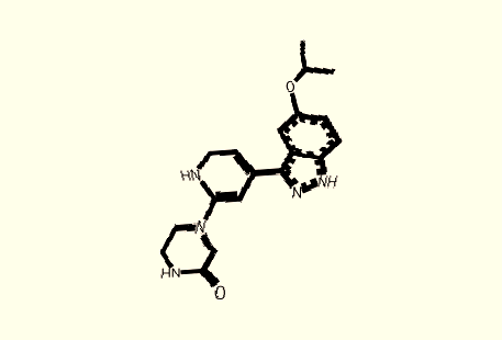 CC(C)Oc1ccc2[nH]nc(C3=CCNC(N4CCNC(=O)C4)=C3)c2c1